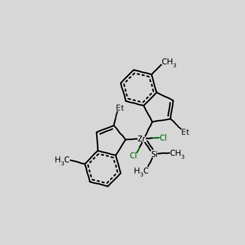 CCC1=Cc2c(C)cccc2[CH]1[Zr]([Cl])([Cl])([CH]1C(CC)=Cc2c(C)cccc21)=[Si](C)C